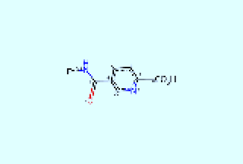 CCNC(=O)c1ccc(C(=O)O)nc1